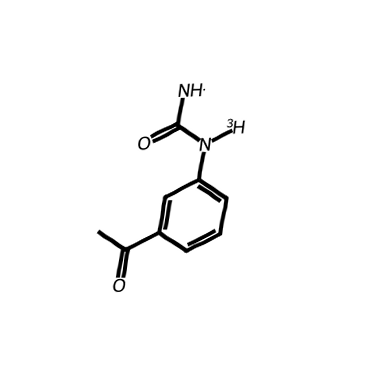 [3H]N(C([NH])=O)c1cccc(C(C)=O)c1